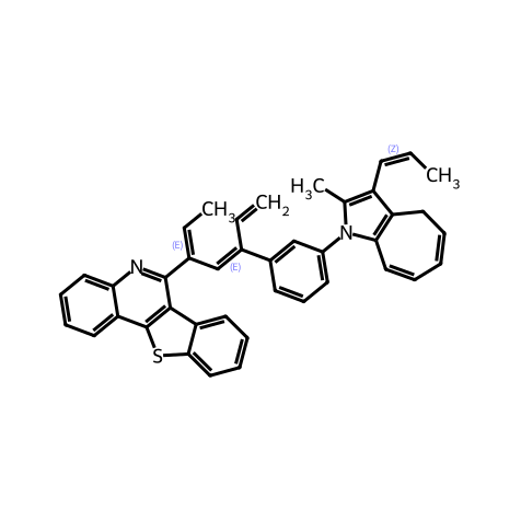 C=C/C(=C\C(=C/C)c1nc2ccccc2c2sc3ccccc3c12)c1cccc(-n2c(C)c(/C=C\C)c3c2C=CC=CC3)c1